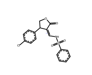 O=C1OCC(c2ccc(Cl)cc2)/C1=C/NS(=O)(=O)c1ccccc1